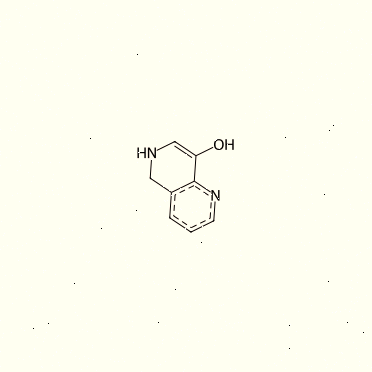 OC1=CNCc2cccnc21